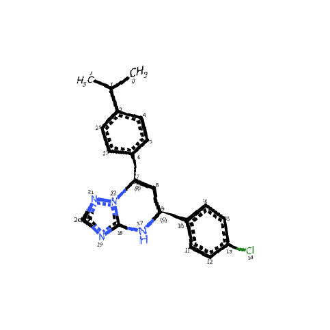 CC(C)c1ccc([C@H]2C[C@@H](c3ccc(Cl)cc3)Nc3ncnn32)cc1